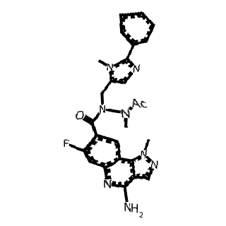 CC(=O)N(C)N(Cc1cnc(-c2ccccc2)n1C)C(=O)c1cc2c(cc1F)nc(N)c1cnn(C)c12